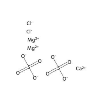 O=S(=O)([O-])[O-].O=S(=O)([O-])[O-].[Ca+2].[Cl-].[Cl-].[Mg+2].[Mg+2]